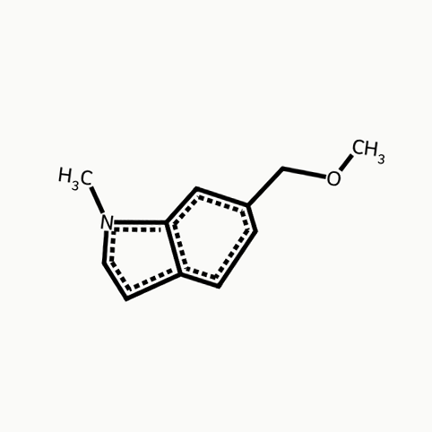 COCc1ccc2ccn(C)c2c1